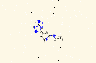 Nc1n[nH]c(-c2ccnc(NCC(F)(F)F)c2)n1